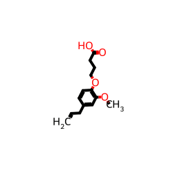 C=CCc1ccc(OCCCC(=O)O)c(OC)c1